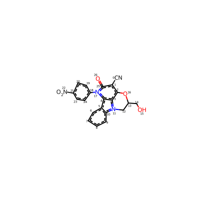 N#Cc1c2c3c(c4ccccc4n3CC(CO)O2)n(-c2ccc([N+](=O)[O-])cc2)c1=O